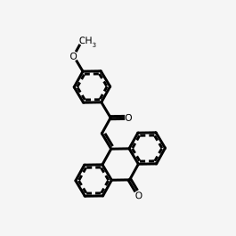 COc1ccc(C(=O)C=C2c3ccccc3C(=O)c3ccccc32)cc1